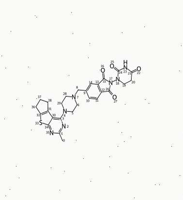 Cc1nc(N2CCN(Cc3ccc4c(c3)C(=O)N(N3CCC(=O)NC3=O)C4=O)CC2)c2c3c(sc2n1)CCC3